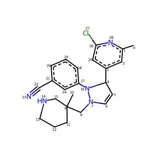 Cc1cc(C2C=CN(CC3(C)CCCNC3)N2c2cccc(C#N)c2)cc(Cl)n1